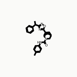 Cc1ccc(NC(=O)N2CC3CCC2C(c2nc(C(C)c4ccccc4)no2)C3)cc1